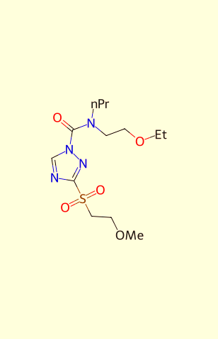 CCCN(CCOCC)C(=O)n1cnc(S(=O)(=O)CCOC)n1